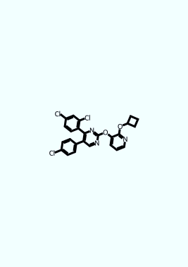 Clc1ccc(-c2cnc(Oc3cccnc3OC3CCC3)nc2-c2ccc(Cl)cc2Cl)cc1